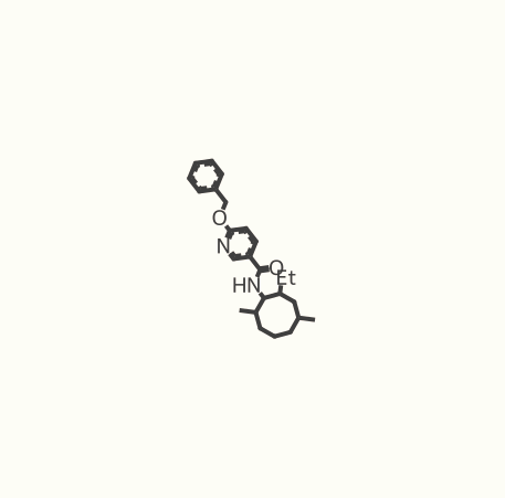 CCC1CC(C)CCCC(C)C1NC(=O)c1ccc(OCc2ccccc2)nc1